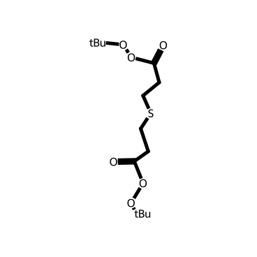 CC(C)(C)OOC(=O)CCSCCC(=O)OOC(C)(C)C